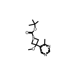 COC1(c2cncnc2C)CN(C(=O)OC(C)(C)C)C1